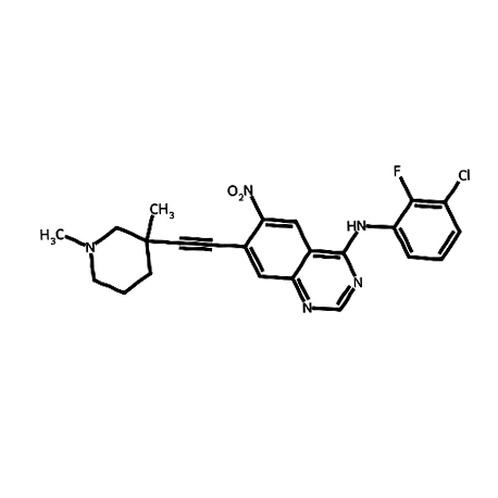 CN1CCCC(C)(C#Cc2cc3ncnc(Nc4cccc(Cl)c4F)c3cc2[N+](=O)[O-])C1